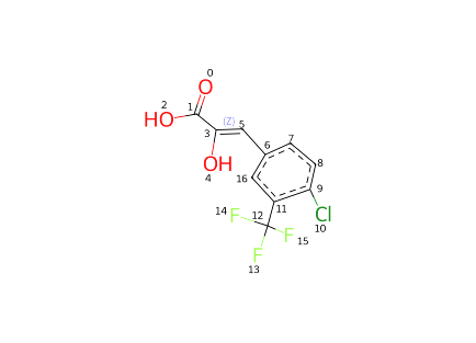 O=C(O)/C(O)=C/c1ccc(Cl)c(C(F)(F)F)c1